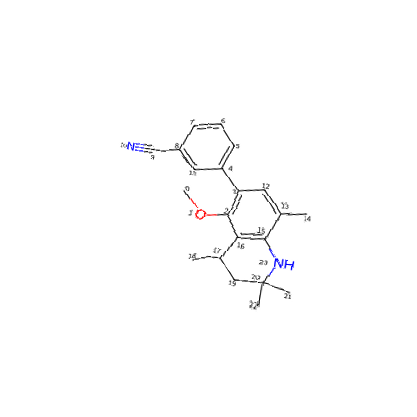 COc1c(-c2cccc(C#N)c2)cc(C)c2c1C(C)CC(C)(C)N2